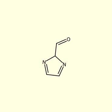 O=CC1N=CC=N1